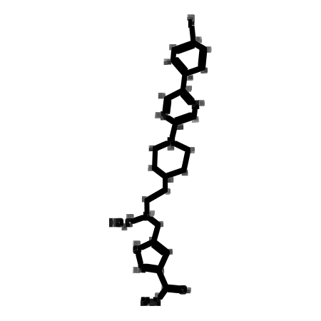 CNC(=O)c1cc(CN(CCC2CCN(c3cnc(-c4ccc(F)cc4)cn3)CC2)C(=O)O)on1